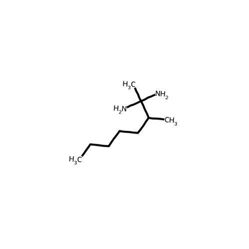 CCCCCC(C)C(C)(N)N